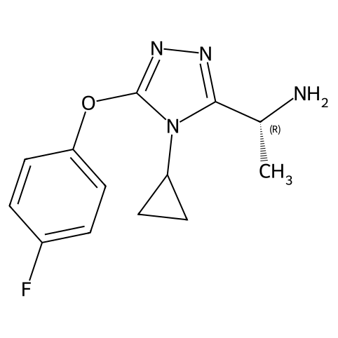 C[C@@H](N)c1nnc(Oc2ccc(F)cc2)n1C1CC1